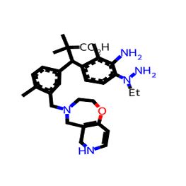 CCN(N)c1ccc(C(c2ccc(C)c(CN3CCOC4=C(CNC=C4)C3)c2)C(C)(C)C(=O)O)c(C)c1N